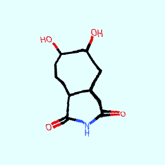 O=C1NC(=O)C2CC(O)C(O)CC12